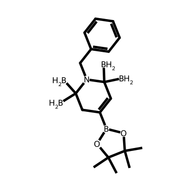 BC1(B)C=C(B2OC(C)(C)C(C)(C)O2)CC(B)(B)N1Cc1ccccc1